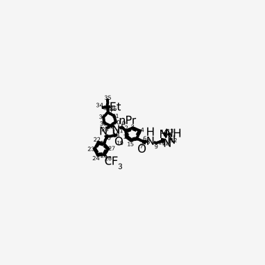 CCC[C@H](c1ccc(C(=O)NCc2nn[nH]n2)cc1)N1C(=O)C(c2cccc(C(F)(F)F)c2)=NC12CCC(C(C)(C)CC)CC2